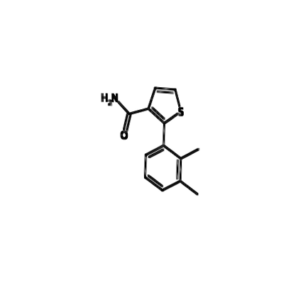 Cc1cccc(-c2sccc2C(N)=O)c1C